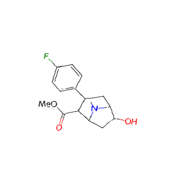 COC(=O)C1C(c2ccc(F)cc2)CC2C(O)CC1N2C